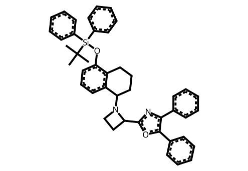 CC(C)(C)[Si](Oc1cccc2c1CCCC2N1CCC1c1nc(-c2ccccc2)c(-c2ccccc2)o1)(c1ccccc1)c1ccccc1